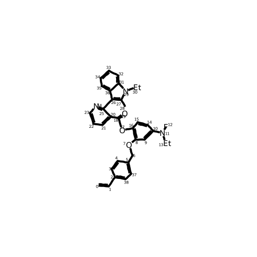 C=Cc1ccc(COc2cc(N(F)CC)ccc2OC(=O)c2cccnc2-c2c(C)n(CC)c3ccccc23)cc1